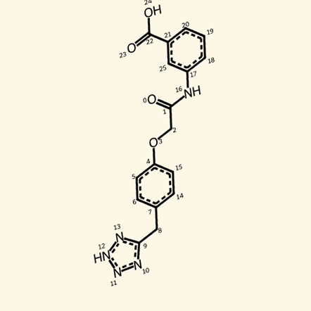 O=C(COc1ccc(Cc2nn[nH]n2)cc1)Nc1cccc(C(=O)O)c1